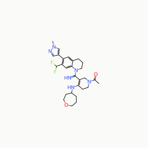 CC(=O)N1CCC(NC2CCCOCC2)=C(C(=N)N2CCCc3cc(-c4cnn(C)c4)c(C(F)F)cc32)C1